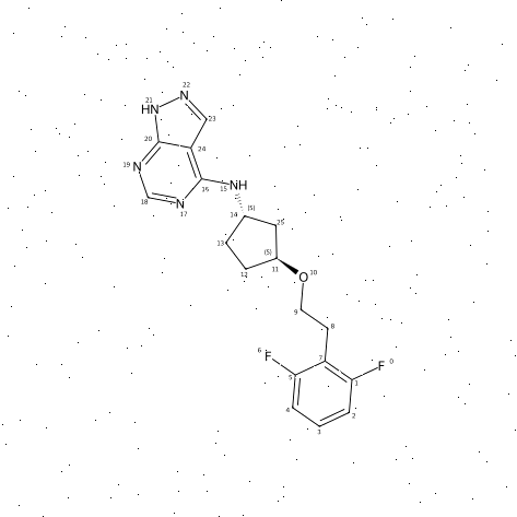 Fc1cccc(F)c1CCO[C@H]1CC[C@H](Nc2ncnc3[nH]ncc23)C1